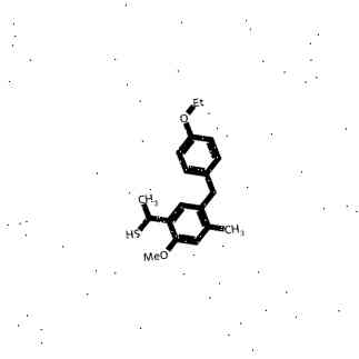 CCOc1ccc(Cc2cc(C(C)S)c(OC)cc2C)cc1